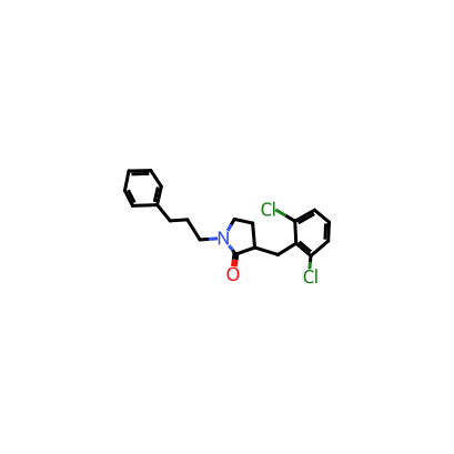 O=C1C(Cc2c(Cl)cccc2Cl)CCN1CCCc1ccccc1